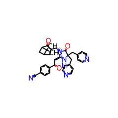 CC1(C)C2CC(CN3C(=O)C(Cc4ccncc4)(Cc4ccncc4)NC3=CC(=O)c3ccc(C#N)cc3)C(=O)C1C2